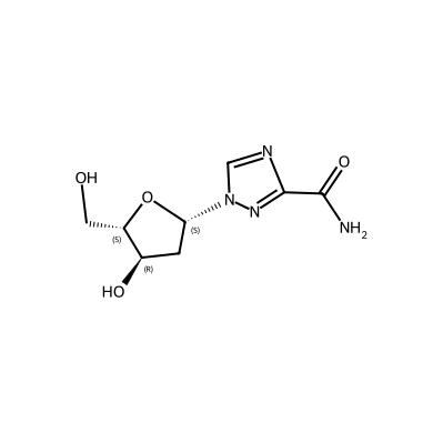 NC(=O)c1ncn([C@@H]2C[C@@H](O)[C@H](CO)O2)n1